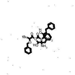 CC(O)C(N)(Cc1ccccc1)N(C(=O)OC(=O)C(OCc1ccccc1)C(C)(C)C)C(N)C(O)CCc1ccccc1